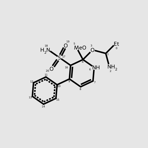 CCC(N)OC1(OC)NC=CC(c2ccccc2)=C1S(N)(=O)=O